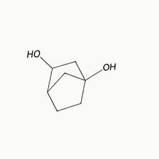 OC1CC2(O)CCC1C2